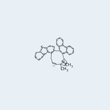 CN1C2C=CC1(C)/C=C\Cc1c(ccc3sc4ccccc4c13)-c1c2c2ccccc2c2ccccc12